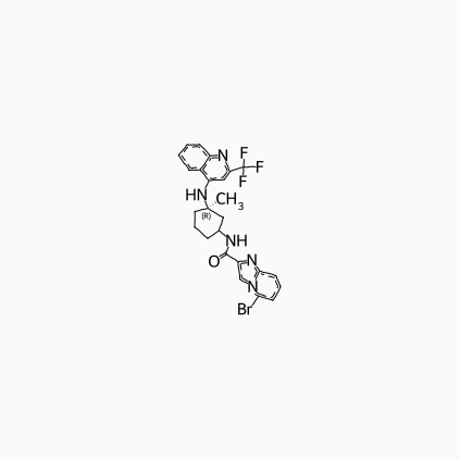 C[C@@]1(Nc2cc(C(F)(F)F)nc3ccccc23)CCCC(NC(=O)c2cn3c(Br)cccc3n2)C1